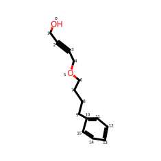 OCC#CCOCCCCc1ccccc1